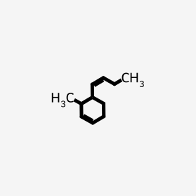 CC/C=C\C1CCC=CC1C